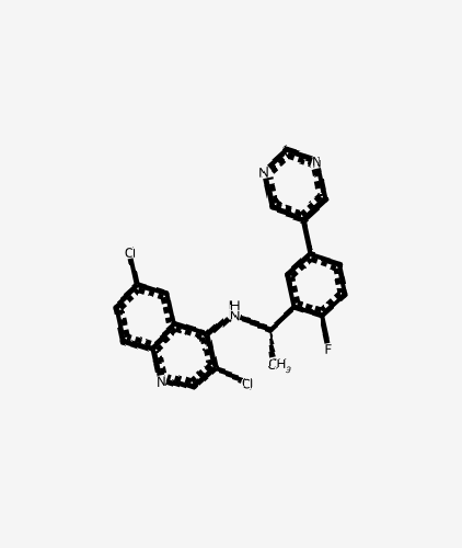 C[C@@H](Nc1c(Cl)cnc2ccc(Cl)cc12)c1cc(-c2cncnc2)ccc1F